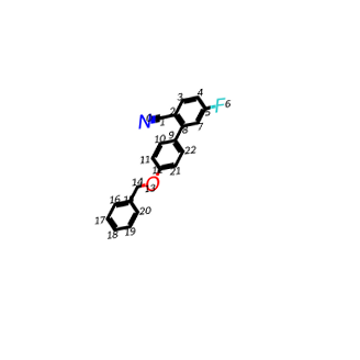 N#Cc1ccc(F)cc1-c1ccc(OCc2ccccc2)cc1